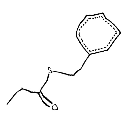 C[CH]C(=O)SCc1ccccc1